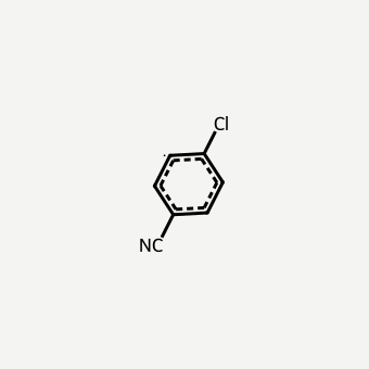 N#Cc1c[c]c(Cl)cc1